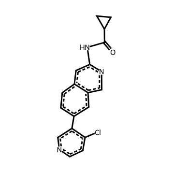 O=C(Nc1cc2ccc(-c3cnccc3Cl)cc2cn1)C1CC1